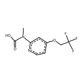 CN(C(=O)O)c1cc(OCC(F)(F)F)ccn1